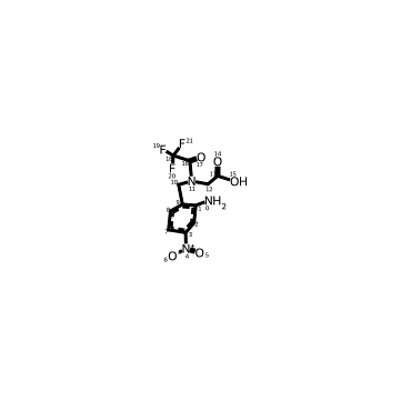 Nc1cc([N+](=O)[O-])ccc1CN(CC(=O)O)C(=O)C(F)(F)F